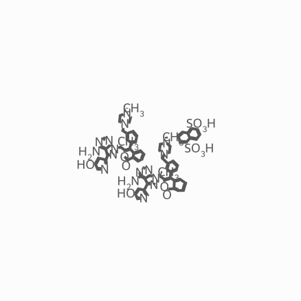 C[C@@H](c1oc(=O)c2ccccc2c1-c1cccc(CN2CCN(C)CC2)c1)n1nc(-c2cncc(O)c2)c2c(N)ncnc21.C[C@@H](c1oc(=O)c2ccccc2c1-c1cccc(CN2CCN(C)CC2)c1)n1nc(-c2cncc(O)c2)c2c(N)ncnc21.O=S(=O)(O)c1cccc2c(S(=O)(=O)O)cccc12